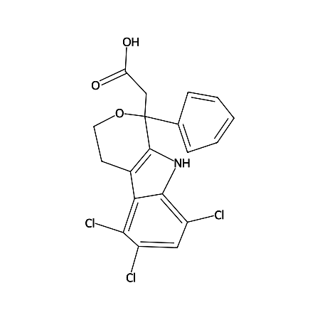 O=C(O)CC1(c2ccccc2)OCCc2c1[nH]c1c(Cl)cc(Cl)c(Cl)c21